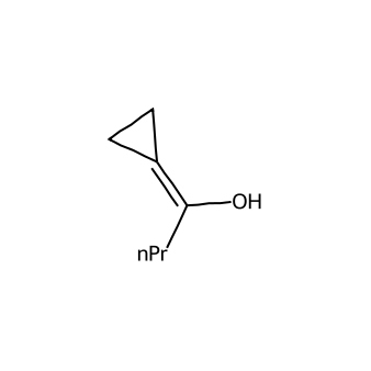 CCCC(O)=C1CC1